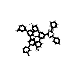 Cc1cccc(-c2ccc3c(c2)c2cc(-c4cccc(C)c4)ccc2n3-c2c(-c3ccc(C#N)cc3)cc(-c3nc(-c4ccccc4)nc(-c4ccccc4)n3)cc2-c2ccc(C#N)cc2)c1